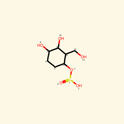 O=S(O)OC1CCC(O)C(O)C1CO